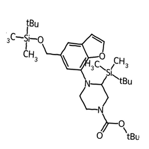 CC(C)(C)OC(=O)N1CCN(c2cc(CO[Si](C)(C)C(C)(C)C)cc3ccoc23)C([Si](C)(C)C(C)(C)C)C1